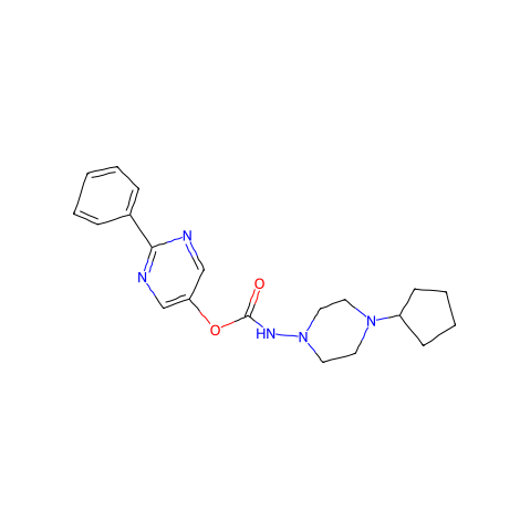 O=C(NN1CCN(C2CCCC2)CC1)Oc1cnc(-c2ccccc2)nc1